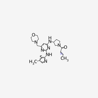 C/C=C/C(=O)N1CCC(Nc2cc(CN3CCOCC3)nc(Nc3ncc(C)s3)n2)C1